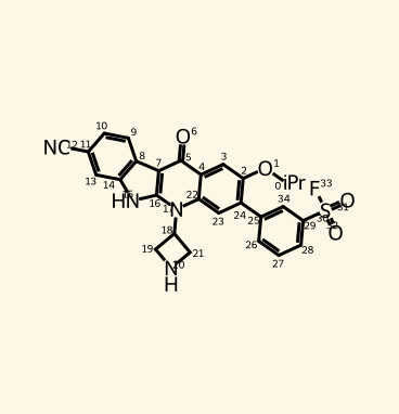 CC(C)Oc1cc2c(=O)c3c4ccc(C#N)cc4[nH]c3n(C3CNC3)c2cc1-c1cccc(S(=O)(=O)F)c1